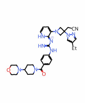 CCc1cnn(C2(CC#N)CN(c3ccc[nH]/c3=N\C(=N)Nc3ccc(C(=O)N4CCC(N5CCOCC5)CC4)cc3)C2)c1